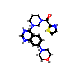 O=C(c1nccs1)N1CCCN(c2ncnc3cc(N4CCOCC4)ccc23)C1